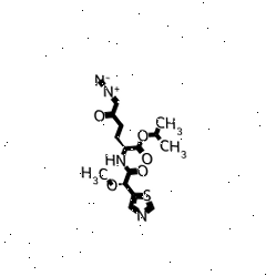 CO[C@H](C(=O)N[C@@H](CCC(=O)C=[N+]=[N-])C(=O)OC(C)C)c1cncs1